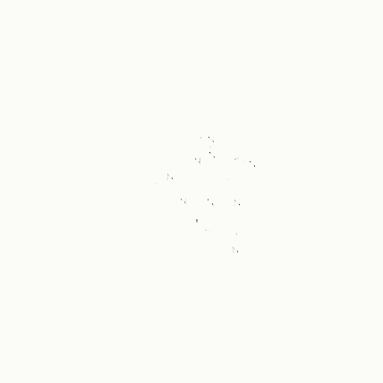 CCCCN(CNc1nc(Nc2cnc(C)c(-n3nccn3)c2)c(C(N)=O)cc1F)C(C)=O